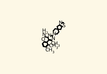 Cc1cccc(-c2c(C)nc(N3CCC4(CC3)Cc3ncsc3C4)nc2C(N)=O)c1C